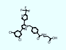 O=C(O)CCNC(=O)c1ccc(Cn2nc(-c3cc(Cl)cc(Cl)c3)cc2-c2ccc(C(F)(F)F)nc2)cc1